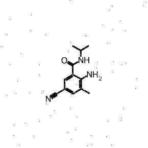 Cc1cc(C#N)cc(C(=O)NC(C)C)c1N